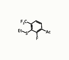 CCSc1c(C(F)(F)F)ccc(C(C)=O)c1F